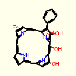 OC1=Cc2cc3ccc(cc4nc(cc5c(-c6ccccc6)c(O)c(c(O)c1n2)n5O)C=C4)[nH]3.[Fe]